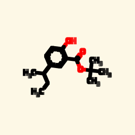 CCC(C)c1ccc(O)c(C(=O)OC(C)(C)C)c1